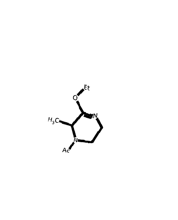 CCOC1=NCCN(C(C)=O)C1C